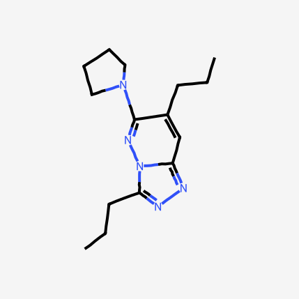 CCCc1cc2nnc(CCC)n2nc1N1CCCC1